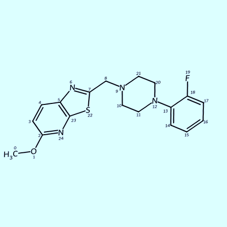 COc1ccc2nc(CN3CCN(c4ccccc4F)CC3)sc2n1